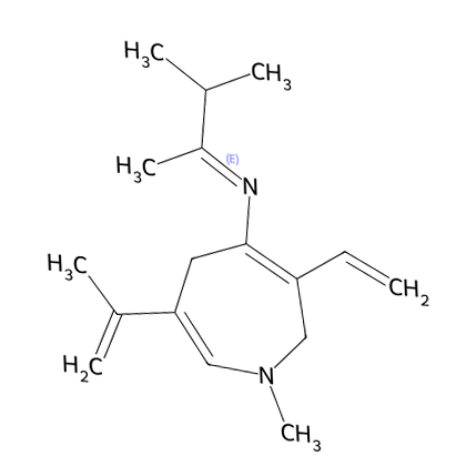 C=CC1=C(/N=C(\C)C(C)C)CC(C(=C)C)=CN(C)C1